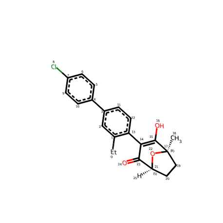 CCc1cc(-c2ccc(Cl)cc2)ccc1C1=C(O)[C@@]2(C)CC[C@H](O2)C1=O